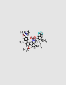 COc1ccc(-c2ccc(C(=O)N(C)C)cc2C)cc1-c1ccc(C)cc1CN1C(=O)O[C@H](c2cc(C)cc(C(F)(F)F)c2)[C@@H]1C